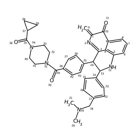 C=C1N=C2c3c(cccc3C1=O)NC(c1ccc(CN(C)C)cc1)C2c1ccc(C(=O)N2CCN(C(=O)C3CC3)CC2)cc1